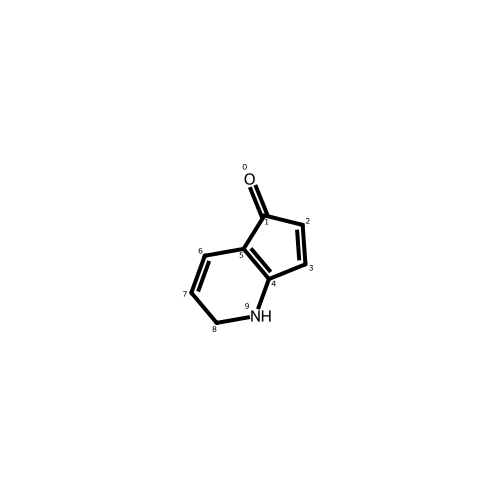 O=C1C=CC2=C1C=CCN2